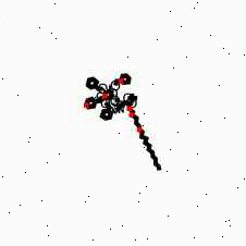 CCCCCCCCCCCCCCCCCCC[C@H]1OC(C)(C)O[C@H]1[C@H](CO[C@H]1O[C@H](COCc2ccccc2)[C@H](OCc2ccccc2)[C@H](OCc2ccccc2)[C@H]1OCc1ccccc1)N=[N+]=[N-]